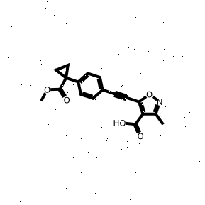 COC(=O)C1(c2ccc(C#Cc3onc(C)c3C(=O)O)cc2)CC1